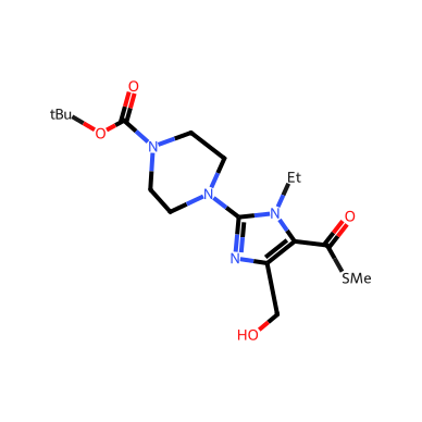 CCn1c(N2CCN(C(=O)OC(C)(C)C)CC2)nc(CO)c1C(=O)SC